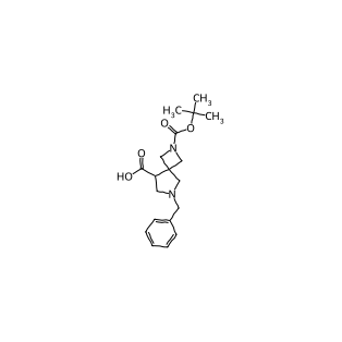 CC(C)(C)OC(=O)N1CC2(CN(Cc3ccccc3)CC2C(=O)O)C1